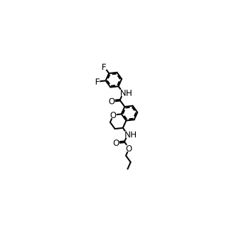 CCCOC(=O)NC1CCOc2c(C(=O)Nc3ccc(F)c(F)c3)cccc21